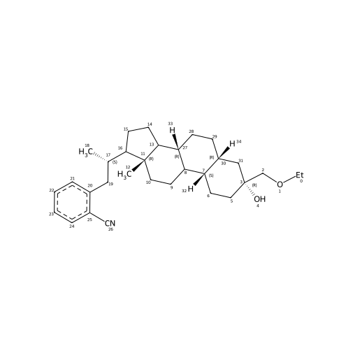 CCOC[C@@]1(O)CC[C@@H]2C3CC[C@@]4(C)C(CCC4[C@@H](C)Cc4ccccc4C#N)[C@@H]3CC[C@@H]2C1